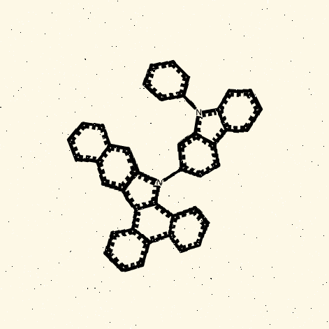 c1ccc(-n2c3ccccc3c3ccc(-n4c5cc6ccccc6cc5c5c6ccccc6c6ccccc6c54)cc32)cc1